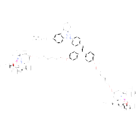 COc1ccc2c(c1)C1CCCC1N2c1ccc(C=C(c2ccc(OCCCCCCOC3CC(C)(C)N(O[Si](C)(C)C(C)(C)C)C(C)(C)C3)cc2)c2ccc(OCCCCCCOC3CC(C)(C)N(O[Si](C)(C)C(C)(C)C)C(C)(C)C3)cc2)cc1